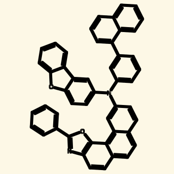 c1ccc(-c2nc3ccc4ccc5ccc(N(c6cccc(-c7cccc8ccccc78)c6)c6ccc7oc8ccccc8c7c6)cc5c4c3o2)cc1